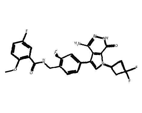 COc1ccc(F)cc1C(=O)NCc1ccc(-c2cn(C3CC(F)(F)C3)c3c(=O)[nH]nc(N)c23)cc1F